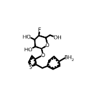 Bc1ccc(Cc2sccc2OC2OC(CO)C(F)C(O)C2O)cc1